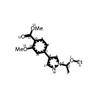 CCOC(C)n1cc(-c2ccc(C(=O)OC)c(OC)c2)cn1